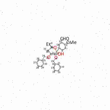 CC[C@H]1OC(O)(c2ccc(OC)c(C=O)c2)[C@H](OCc2ccccc2)C(OCc2ccccc2)[C@@H]1C